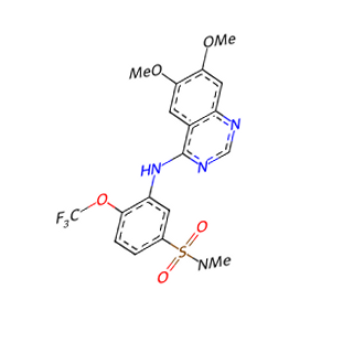 CNS(=O)(=O)c1ccc(OC(F)(F)F)c(Nc2ncnc3cc(OC)c(OC)cc23)c1